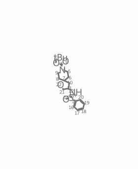 CC(C)(C)OC(=O)N1CCC2(CC1)CC(N[S+]([O-])c1ccccc1)CO2